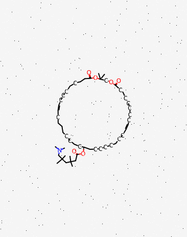 CN(C)CC(C)(C)CC(C)(C)CC(=O)OC1CCCCCCCC/C=C\CCCCCCCC(=O)OCC(C)(C)OC(=O)CCCCCCC/C=C\CCCCCCCC1